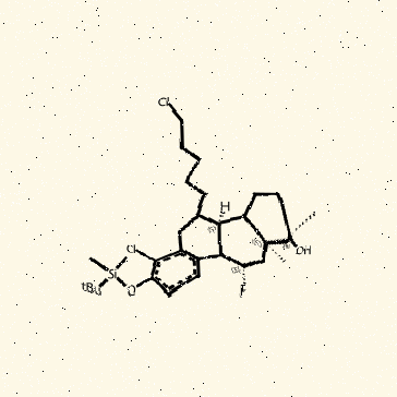 CC(C)(C)[Si](C)(C)Oc1ccc2c(c1Cl)CC(CCCCCCl)[C@@H]1C2[C@@H](F)C[C@@]2(C)C1CC[C@@]2(C)O